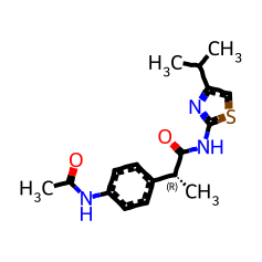 CC(=O)Nc1ccc([C@@H](C)C(=O)Nc2nc(C(C)C)cs2)cc1